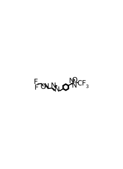 FC(F)CON=Cc1cn(Cc2ccc(-c3noc(C(F)(F)F)n3)cc2)cn1